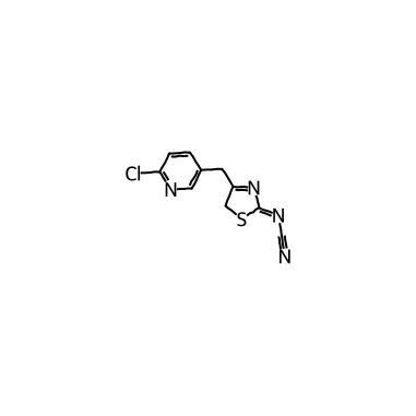 N#CN=C1N=C(Cc2ccc(Cl)nc2)CS1